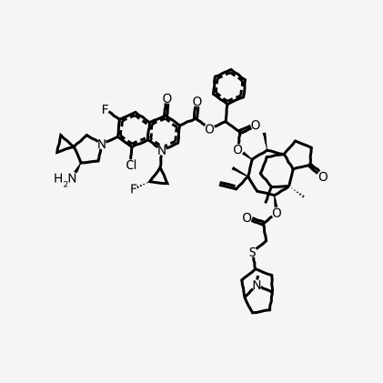 C=C[C@@]1(C)C[C@H](OC(=O)CSC2CC3CCC(C2)N3C)[C@@]2(C)C(C)CCC3(CCC(=O)C32)[C@H](C)[C@@H]1OC(=O)C(OC(=O)c1cn(C2C[C@@H]2F)c2c(Cl)c(N3C[C@@H](N)C4(CC4)C3)c(F)cc2c1=O)c1ccccc1